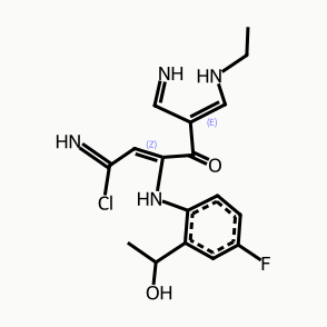 CCN/C=C(\C=N)C(=O)/C(=C/C(=N)Cl)Nc1ccc(F)cc1C(C)O